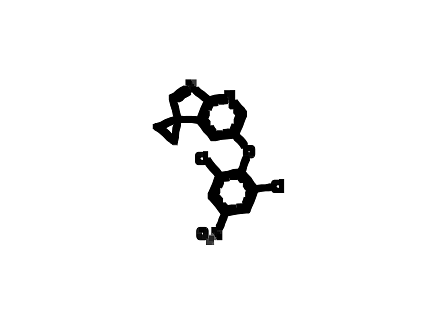 O=[N+]([O-])c1cc(Cl)c(Oc2cnc3c(c2)C2(C=N3)CC2)c(Cl)c1